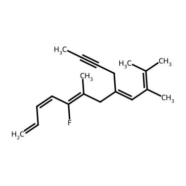 C=C/C=C\C(F)=C(/C)C/C(=C/C(C)=C(C)C)CC#CC